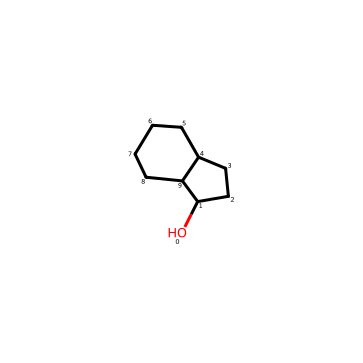 OC1CCC2CCCCC12